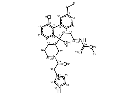 CCc1cccc(-c2c(Cl)cccc2C(O)(CCCNC(=O)OC)C2CCCN(C(=O)C[n+]3cc[nH]c3)C2)c1